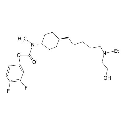 CCN(CCO)CCCCC[C@H]1CC[C@H](N(C)C(=O)Oc2ccc(F)c(F)c2)CC1